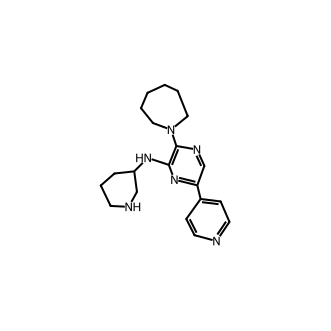 c1cc(-c2cnc(N3CCCCCC3)c(NC3CCCNC3)n2)ccn1